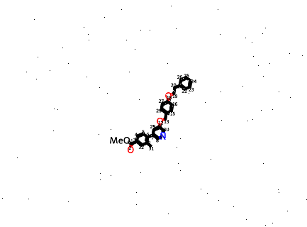 COC(=O)c1ccc(-c2cncc(OCc3ccc(OCCc4ccccc4)cc3)c2)c(C)c1